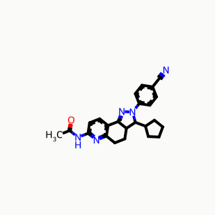 CC(=O)Nc1ccc2c(n1)CCC1C2=NN(c2ccc(C#N)cc2)C1C1CCCC1